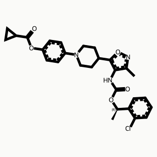 Cc1noc(C2CCN(c3ccc(OC(=O)C4CC4)cc3)CC2)c1NC(=O)O[C@H](C)c1ccccc1Cl